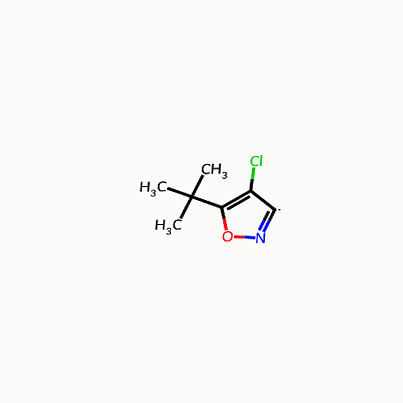 CC(C)(C)c1on[c]c1Cl